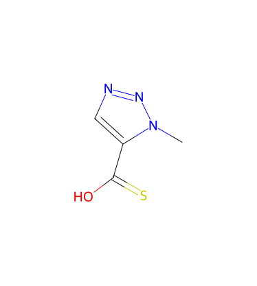 Cn1nncc1C(O)=S